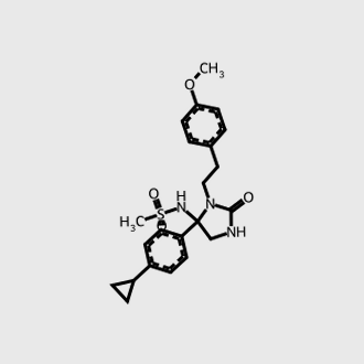 COc1ccc(CCN2C(=O)NCC2(NS(C)(=O)=O)c2ccc(C3CC3)cc2)cc1